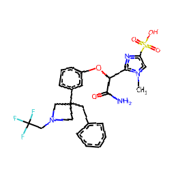 Cn1cc(S(=O)(=O)O)nc1C(Oc1cccc(C2(Cc3ccccc3)CN(CC(F)(F)F)C2)c1)C(N)=O